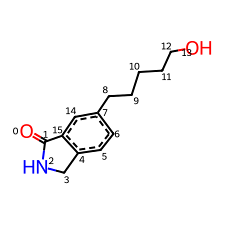 O=C1NCc2ccc(CCCCCO)cc21